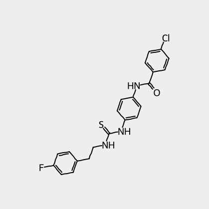 O=C(Nc1ccc(NC(=S)NCCc2ccc(F)cc2)cc1)c1ccc(Cl)cc1